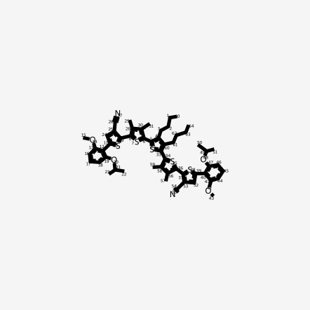 CCCCc1c(-c2sc(-c3sc(-c4c(OC)cccc4OC(C)C)cc3C#N)c(C)c2C)sc(-c2sc(-c3sc(-c4c(OC)cccc4OC(C)C)cc3C#N)c(C)c2C)c1CCCC